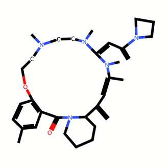 C=C1/C=C(/C)N(C)/C(=C\C(=C)N2CCC2)N(C)CCN(C)CCOc2ccc(C)cc2C(=O)N2CCCCC12